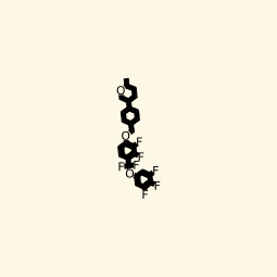 CC1CCC(C2CCC(COc3ccc(C(F)(F)Oc4cc(F)c(F)c(F)c4)c(F)c3F)CC2)CO1